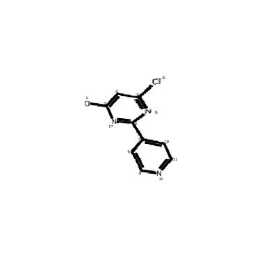 Clc1cc(Cl)nc(-c2ccncc2)n1